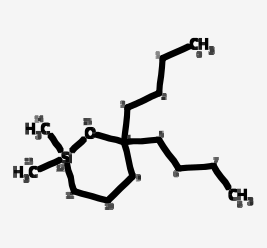 CCCCC1(CCCC)CCC[Si](C)(C)O1